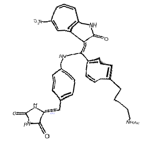 CC(=O)NCCCc1ccc(C(Nc2ccc(/C=C3\NC(=O)NC3=O)cc2)=C2C(=O)Nc3ccc([N+](=O)[O-])cc32)cc1